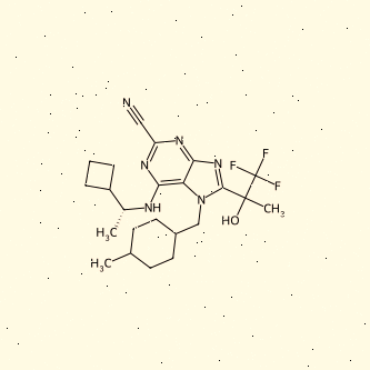 CC1CCC(Cn2c(C(C)(O)C(F)(F)F)nc3nc(C#N)nc(N[C@H](C)C4CCC4)c32)CC1